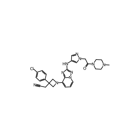 CN1CCN(C(=O)Cn2cc(Nc3nc4c(N5CC(CC#N)(c6ccc(Cl)cc6)C5)cccn4n3)cn2)CC1